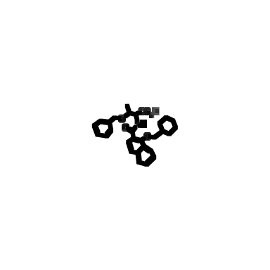 CC(OCc1ccccc1)C(NC(=O)c1ccc2ccccc2c1OCC1CCCCC1)C(=O)O